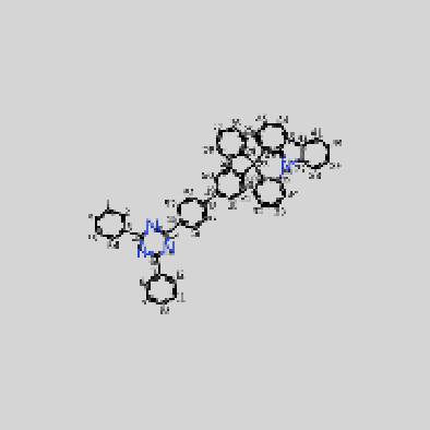 c1ccc(-c2nc(-c3ccccc3)nc(-c3ccc(-c4ccc(C5(c6ccccc6)c6ccccc6-n6c7ccccc7c7cccc5c76)cc4)cc3)n2)cc1